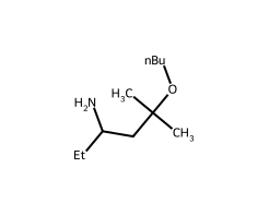 CCCCOC(C)(C)CC(N)CC